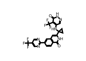 O=c1[nH]ncc(NC2(c3cc4cc(-c5ncc(C(F)(F)F)cn5)ccc4c(=O)[nH]3)CC2)c1C(F)(F)F